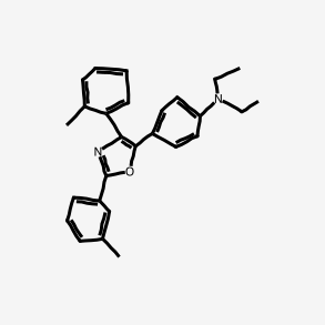 CCN(CC)c1ccc(-c2oc(-c3cccc(C)c3)nc2-c2ccccc2C)cc1